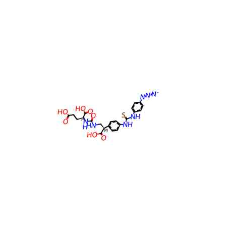 [N-]=[N+]=Nc1ccc(NC(=S)Nc2ccc([C@H](CNC(=O)N[C@@H](CCC(=O)O)C(=O)O)C(=O)O)cc2)cc1